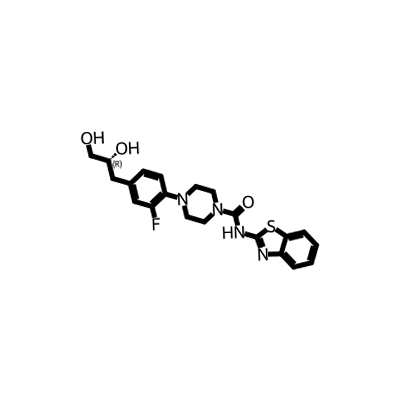 O=C(Nc1nc2ccccc2s1)N1CCN(c2ccc(C[C@@H](O)CO)cc2F)CC1